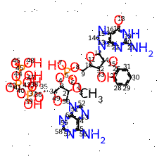 CO[C@@H]1[C@H](OP(=O)(O)OC[C@H]2O[C@@H](n3cnc4c(=O)[nH]c(N)nc43)[C@H](Oc3ccccc3)[C@@H]2O)[C@@H](COP(=O)(O)OP(=O)(O)OP(=O)(O)O)O[C@H]1n1cnc2c(N)ncnc21